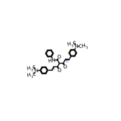 CN(C)c1ccc(/C=C/C(=O)C(C(=O)/C=C/c2ccc(N(C)C)cc2)C(=O)Nc2ccccc2)cc1